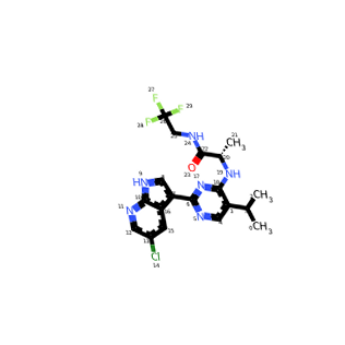 CC(C)c1cnc(-c2c[nH]c3ncc(Cl)cc23)nc1N[C@@H](C)C(=O)NCC(F)(F)F